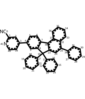 N#Cc1cc(-c2ccc3c(c2)C(c2ccccc2)(c2ccccc2)c2cc(-c4ccccc4)c4ccccc4c2-3)ccn1